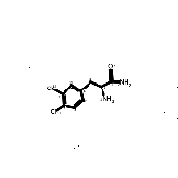 NC(=O)[C@@H](N)Cc1ccc(Cl)c(Cl)c1